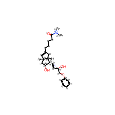 CC(C)N(C(=O)CCCCC1=C[C@H]2C[C@@H](O)[C@H](/C=C/[C@@H](O)COc3ccccc3)[C@H]2C1)C(C)C